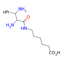 CCCC(N)C(N)C(=O)NCCCCCC(=O)O